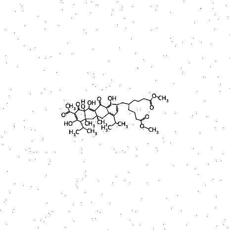 COC(=O)CCCC(CCCC(=O)OC)Cc1cc(C(C)C)c2c(c1O)C(=O)C1=C(O)[C@@]3(O)C(=O)C(C(C)=O)=C(O)C(C(C)C)[C@@]3(C)C[C@@]1(C)C2